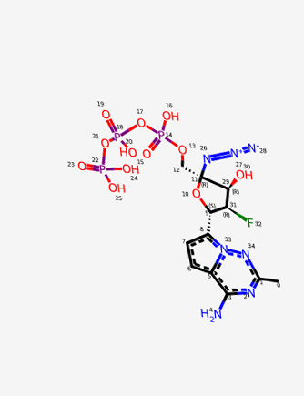 Cc1nc(N)c2ccc([C@@H]3O[C@@](COP(=O)(O)OP(=O)(O)OP(=O)(O)O)(N=[N+]=[N-])[C@@H](O)[C@H]3F)n2n1